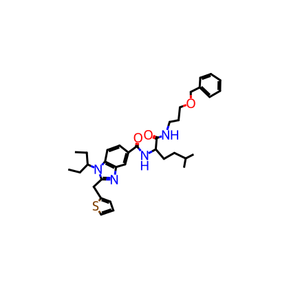 CCC(CC)n1c(Cc2cccs2)nc2cc(C(=O)NC(CCC(C)C)C(=O)NCCCOCc3ccccc3)ccc21